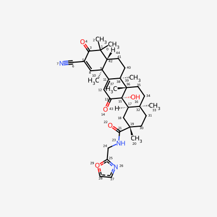 CC1(C)C(=O)C(C#N)=C[C@]2(C)C3=CC(=O)[C@]4(O)[C@@H]5C[C@@](C)(C(=O)NCc6ncco6)CC[C@]5(C)CC[C@@]4(C)[C@]3(C)CC[C@@H]12